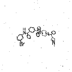 CN1CC(C(=O)N2CCN(S(=O)(=O)c3cccc(C(=O)Nc4cccc(Br)c4)c3)CC2)C1